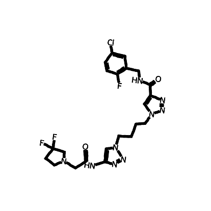 O=C(CN1CCC(F)(F)C1)Nc1cn(CCCCn2cc(C(=O)NCc3cc(Cl)ccc3F)nn2)nn1